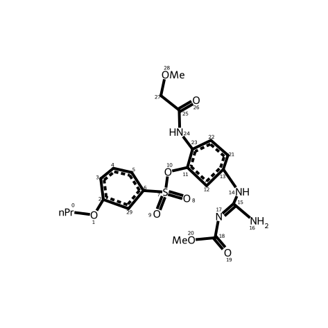 CCCOc1cccc(S(=O)(=O)Oc2cc(NC(N)=NC(=O)OC)ccc2NC(=O)COC)c1